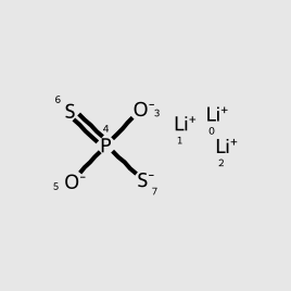 [Li+].[Li+].[Li+].[O-]P([O-])(=S)[S-]